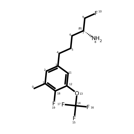 Cc1cc(CCC[C@@H](N)CF)cc(OC(F)(F)F)c1F